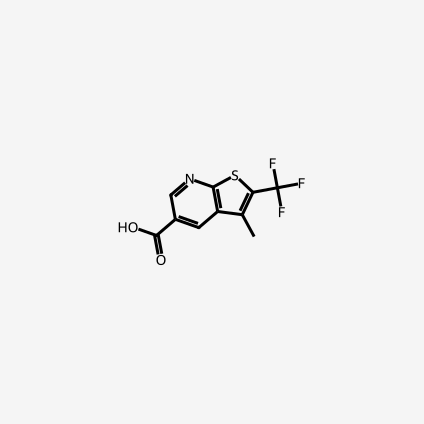 Cc1c(C(F)(F)F)sc2ncc(C(=O)O)cc12